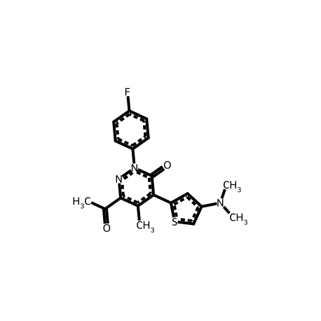 CC(=O)c1nn(-c2ccc(F)cc2)c(=O)c(-c2cc(N(C)C)cs2)c1C